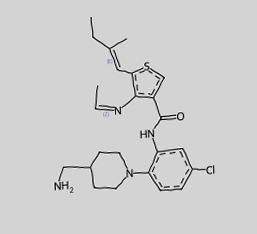 C/C=N\c1c(C(=O)Nc2cc(Cl)ccc2N2CCC(CN)CC2)csc1/C=C(\C)CC